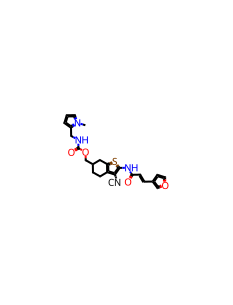 Cn1cccc1CNC(=O)OCC1CCc2c(sc(NC(=O)C=Cc3ccoc3)c2C#N)C1